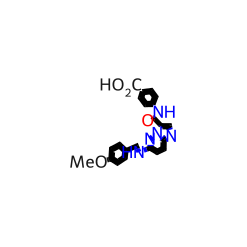 COc1ccc(CNc2ccc3ncc(C(=O)Nc4ccc(C(=O)O)cc4)n3n2)cc1